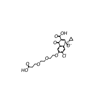 O=C(O)CCOCCOCCOc1cc2c(cc1Cl)[N+]([O-])(C1CC1)C=C(C(=O)O)C2=O